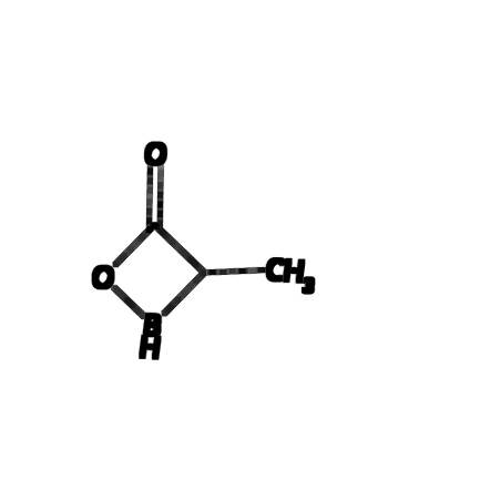 CC1BOC1=O